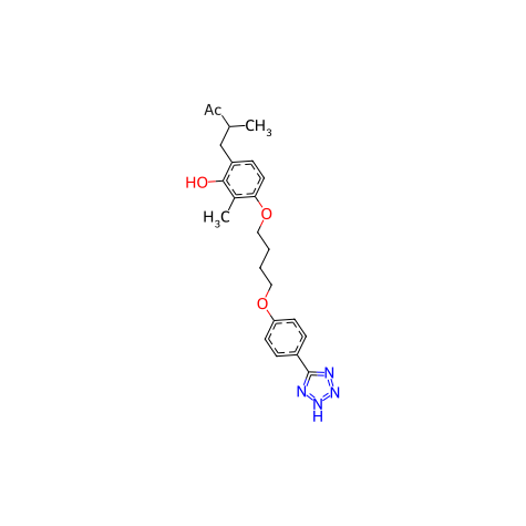 CC(=O)C(C)Cc1ccc(OCCCCOc2ccc(-c3nn[nH]n3)cc2)c(C)c1O